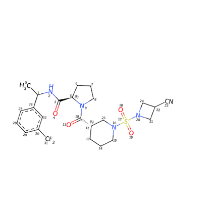 CC(NC(=O)[C@H]1CCCN1C(=O)[C@H]1CCCN(S(=O)(=O)N2CC(C#N)C2)C1)c1cccc(C(F)(F)F)c1